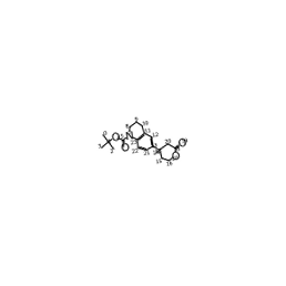 CC(C)(C)OC(=O)N1CCCc2cc([C@@H]3CCOC(=O)C3)ccc21